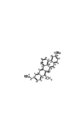 Cc1c2c(cc3cc(CC(C)(C)C)ccc13)-c1nccc3c1c(cc1ccc(C(C)(C)C)cc13)O2